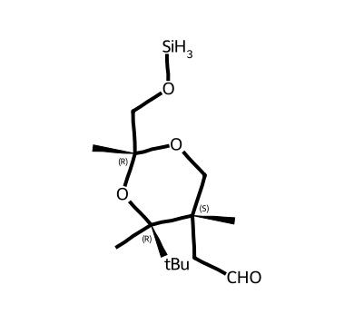 CC(C)(C)[C@@]1(C)O[C@](C)(CO[SiH3])OC[C@]1(C)CC=O